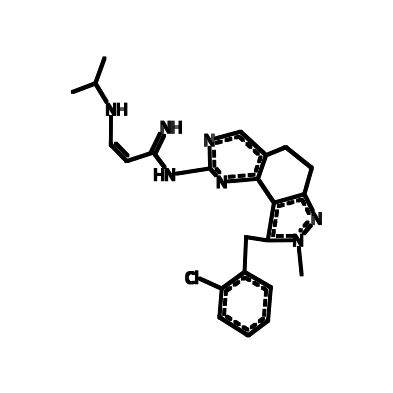 CC(C)N/C=C\C(=N)Nc1ncc2c(n1)-c1c(nn(C)c1Cc1ccccc1Cl)CC2